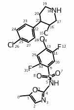 Cc1cnc(NS(=O)(=O)c2cc(F)c(OCC3CNCCC3c3ccc(Cl)cc3)cc2F)o1